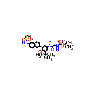 COc1c(-c2ccc3cc(NS(C)(=O)=O)ccc3c2)cc(NC(=O)CNC(=O)OC(C)(C)C)cc1C(C)(C)C